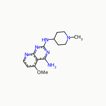 COc1ccnc2nc(NC3CCN(C)CC3)nc(N)c12